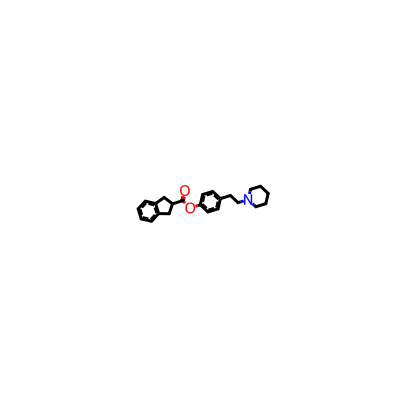 O=C(Oc1ccc(CCN2CCCCC2)cc1)C1Cc2ccccc2C1